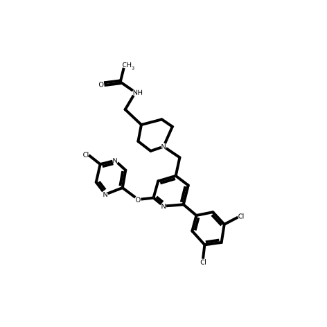 CC(=O)NCC1CCN(Cc2cc(Oc3cnc(Cl)cn3)nc(-c3cc(Cl)cc(Cl)c3)c2)CC1